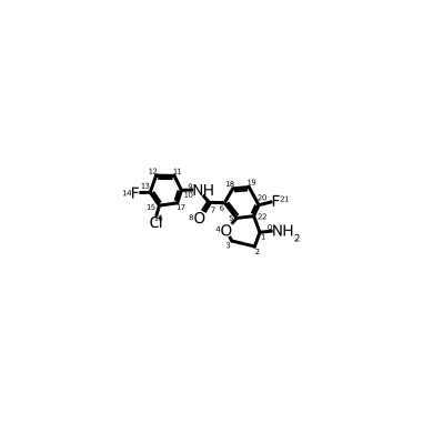 NC1CCOc2c(C(=O)Nc3ccc(F)c(Cl)c3)ccc(F)c21